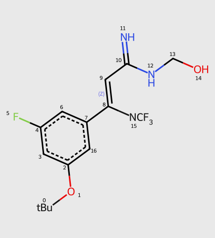 CC(C)(C)Oc1cc(F)cc(/C(=C/C(=N)NCO)NC(F)(F)F)c1